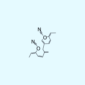 C=C(/C=C\C(=C/C)OC#N)CC(/C=C\C(=C/C)OC#N)=C/C